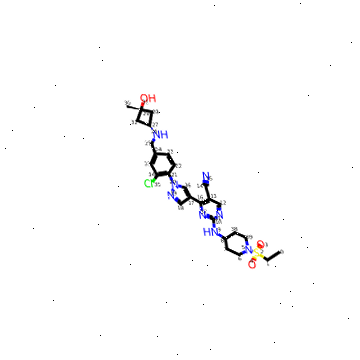 CCS(=O)(=O)N1CCC(Nc2ncc(C#N)c(-c3cnn(-c4ccc(CN[C@H]5C[C@@](C)(O)C5)cc4Cl)c3)n2)CC1